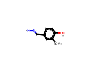 COc1cc(C[N+][N])ccc1O